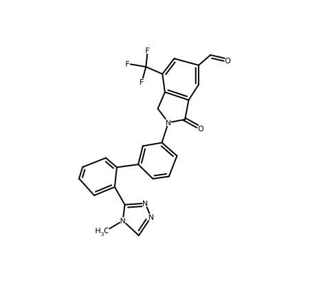 Cn1cnnc1-c1ccccc1-c1cccc(N2Cc3c(cc(C=O)cc3C(F)(F)F)C2=O)c1